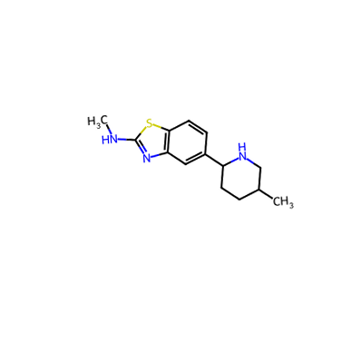 CNc1nc2cc(C3CCC(C)CN3)ccc2s1